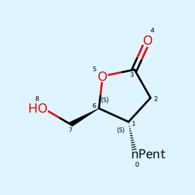 CCCCC[C@H]1CC(=O)O[C@@H]1CO